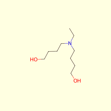 CCN(CCCCO)CCCCO